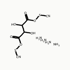 N.N.N.N.N#CSOC(=O)C(O)C(O)C(=O)OSC#N